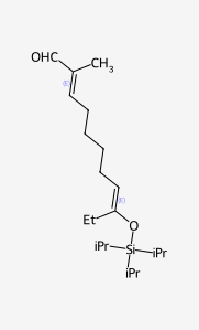 CC/C(=C\CCCC/C=C(\C)C=O)O[Si](C(C)C)(C(C)C)C(C)C